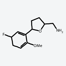 COC1=CCC(F)C=C1C1CCC(CN)O1